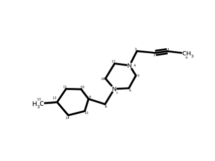 CC#CCN1CCN(CC2CCC(C)CC2)CC1